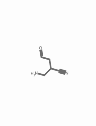 N#CC(CN)CC=O